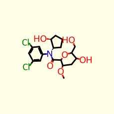 COC1CC(O)C(CO)OC1C(=O)N(c1cc(Cl)cc(Cl)c1)[C@H]1CCC[C@@H]1O